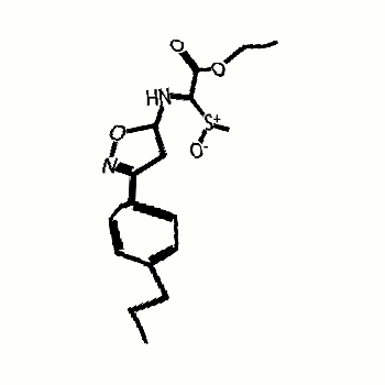 CCCc1ccc(C2=NOC(NC(C(=O)OCC)[S+](C)[O-])C2)cc1